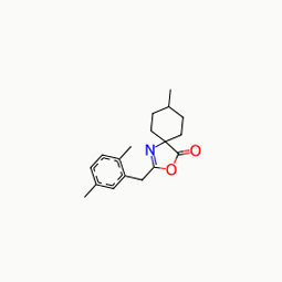 Cc1ccc(C)c(CC2=NC3(CCC(C)CC3)C(=O)O2)c1